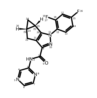 O=C(Nc1cnccn1)c1nn(-c2ccc(F)cc2F)c2c1C[C@@H]1C[C@H]21